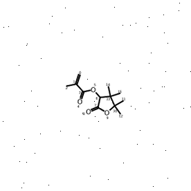 C=C(C)C(=O)OC1C(=O)OC(C)(C)C1(C)C